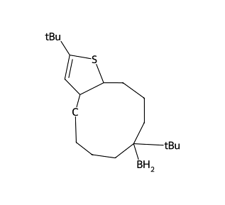 BC1(C(C)(C)C)CCCCC2C=C(C(C)(C)C)SC2CCC1